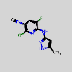 [C-]#[N+]c1cc(F)c(Nc2cc(C)[nH]n2)nc1Cl